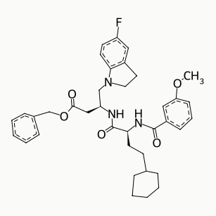 COc1cccc(C(=O)N[C@@H](CCC2CCCCC2)C(=O)N[C@@H](CC(=O)OCc2ccccc2)CN2CCc3cc(F)ccc32)c1